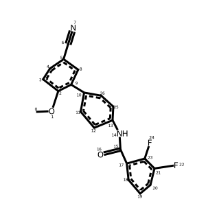 COc1ccc(C#N)cc1-c1ccc(NC(=O)c2cccc(F)c2F)cc1